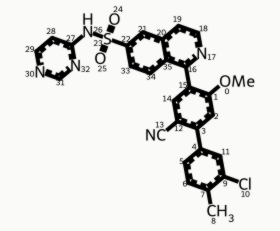 COc1cc(-c2ccc(C)c(Cl)c2)c(C#N)cc1-c1nccc2cc(S(=O)(=O)Nc3ccncn3)ccc12